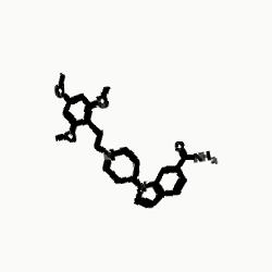 COc1cc(OC)c(CCN2CCC(n3ccc4ccc(C(N)=O)cc43)CC2)c(OC)c1